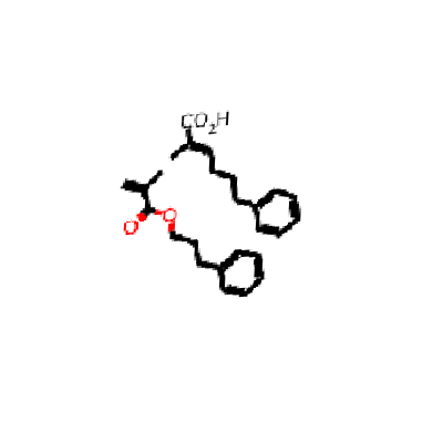 C=C(C)C(=O)OCCCc1ccccc1.CC(=CCCCc1ccccc1)C(=O)O